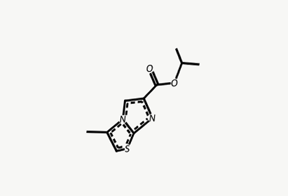 Cc1csc2nc(C(=O)OC(C)C)cn12